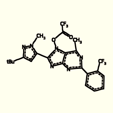 Cc1nc(-c2ccccc2C(F)(F)F)nc2nc(-c3cc(C(C)(C)C)nn3C)n(OC(=O)C(F)(F)F)c12